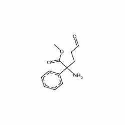 COC(=O)C(N)(CCC=O)c1ccccc1